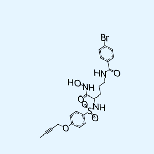 CC#CCOc1ccc(S(=O)(=O)NC(CCCNC(=O)c2ccc(Br)cc2)C(=O)NO)cc1